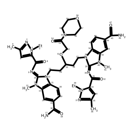 CCn1nc(C)cc1C(=O)N=c1n(C)c2cc(C(N)=O)ccc2n1CCC(CCn1c(=NC(=O)c2cc(C)nn2CC)n(C)c2cc(C(N)=O)ccc21)OCC(=O)N1CCOCC1